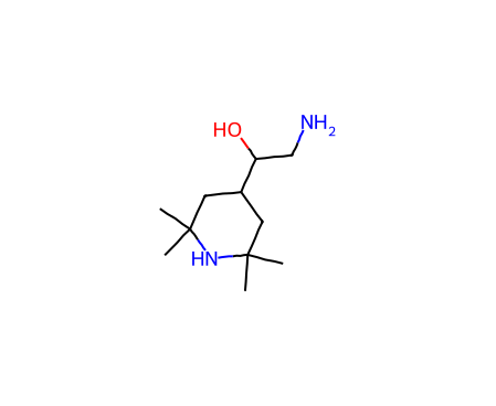 CC1(C)CC(C(O)CN)CC(C)(C)N1